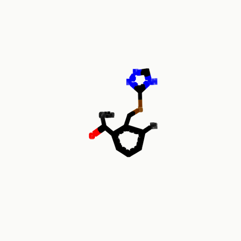 CCc1cccc(C(=O)OC)c1CSc1nnc[nH]1